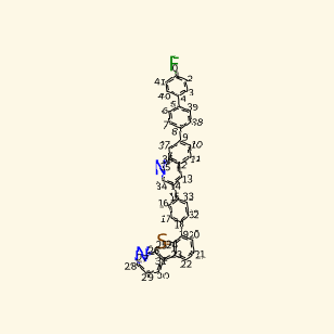 Fc1ccc(-c2ccc(-c3ccc4cc(-c5ccc(-c6cccc7c6sc6ncccc67)cc5)cnc4c3)cc2)cc1